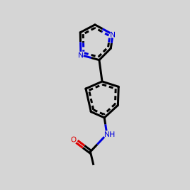 CC(=O)Nc1ccc(-c2cnccn2)cc1